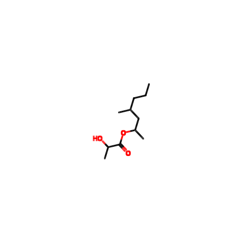 CCCC(C)CC(C)OC(=O)C(C)O